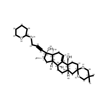 C[C@H]1C[C@H]2[C@@H]3CC[C@H]4CC5(CC[C@@]4(O)C3=CC[C@]2(C)[C@]1(O)C#CCOC1CCCCO1)OCC(C)(C)CO5